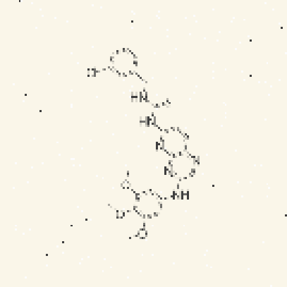 COc1cc(Nc2cnc3ccc(NC(=S)NCc4cccc(Cl)c4)nc3n2)cc(OC)c1OC